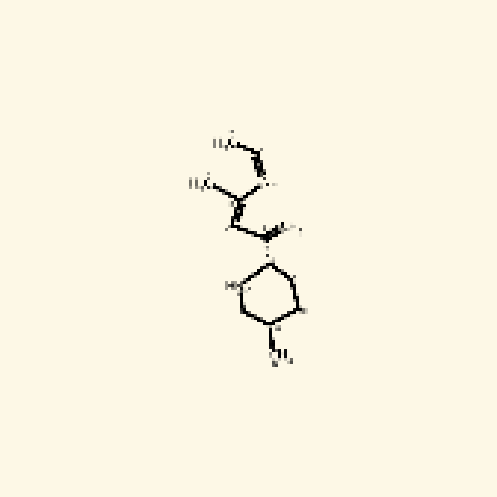 C=C(/C=C(C)\N=C/C)[C@@H]1CC[C@@H](C)CN1